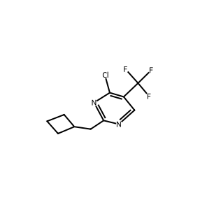 FC(F)(F)c1cnc(CC2CCC2)nc1Cl